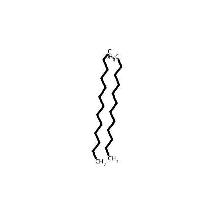 CCCCCCCCCCCC.CCCCCCCCCCCCC